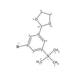 C[Si](C)(C)c1cc(Br)cc(C2OCCO2)c1